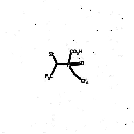 CCC(C(F)(F)F)P(=O)(CC(F)(F)F)C(=O)O